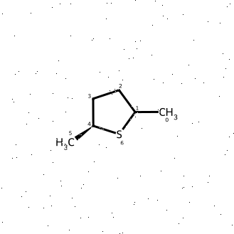 CC1CC[C@H](C)S1